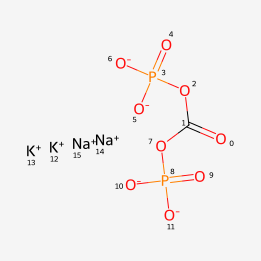 O=C(OP(=O)([O-])[O-])OP(=O)([O-])[O-].[K+].[K+].[Na+].[Na+]